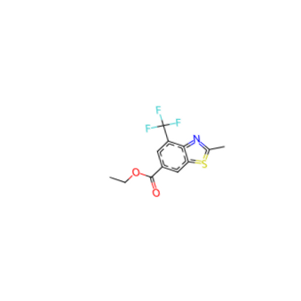 CCOC(=O)c1cc(C(F)(F)F)c2nc(C)sc2c1